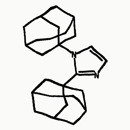 c1cn(C23CC4CC(CC(C4)C2)C3)c(C23CC4CC(CC(C4)C2)C3)n1